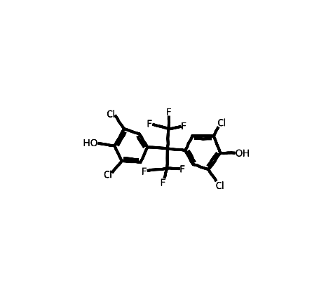 Oc1c(Cl)cc(C(c2cc(Cl)c(O)c(Cl)c2)(C(F)(F)F)C(F)(F)F)cc1Cl